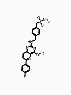 CCOc1nc(NCc2ccc(CS(N)(=O)=O)cc2)nc2ccc(-c3ccc(F)cc3)nc12